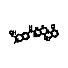 CN1Cc2ccc(Nc3ncc4c(n3)SCN(c3c(Cl)cccc3Cl)C4=O)cc2CC1CO